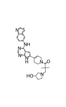 CC(C)(CN1CCC(O)C1)C(=O)N1CC=C(c2cc3c(Nc4ccc5ncsc5c4)ncnc3[nH]2)CC1